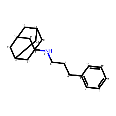 c1ccc(CCCNC23C[C]4CC(CC(C4)C2)C3)cc1